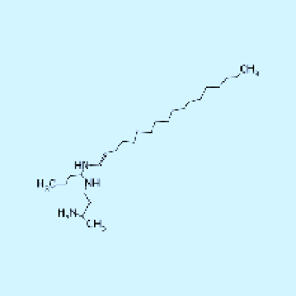 CCCCCCCCCCCCCCCCC=CNC(CCC)NCCC(C)N